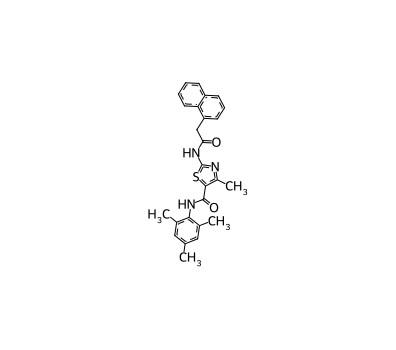 Cc1cc(C)c(NC(=O)c2sc(NC(=O)Cc3cccc4ccccc34)nc2C)c(C)c1